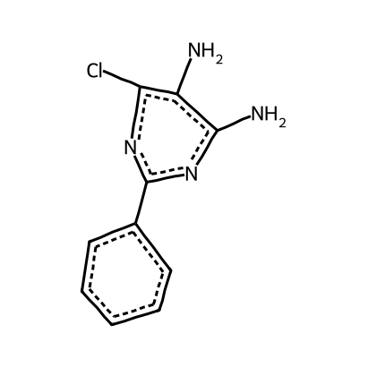 Nc1nc(-c2ccccc2)nc(Cl)c1N